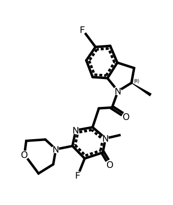 C[C@@H]1Cc2cc(F)ccc2N1C(=O)Cc1nc(N2CCOCC2)c(F)c(=O)n1C